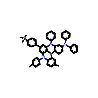 Cc1ccc(N2c3ccc(C)cc3B3c4ccc(N(c5ccccc5)c5ccccc5)cc4N(c4ccccc4)c4cc(-c5ccc([Si](C)(C)C)cc5)cc2c43)cc1